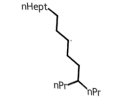 CCCCCCCCC[CH]CCC(CCC)CCC